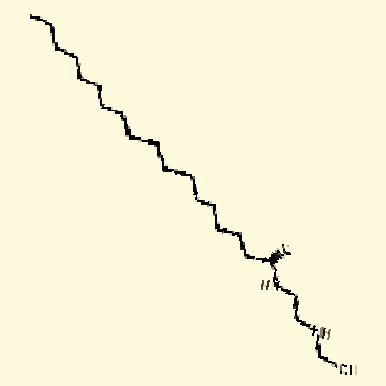 CCCCCCCCCCCCCCCCCC(=O)NCCNCO